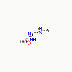 CC(C)c1nsc(C=Cc2cncc(NC(=O)OC(C)(C)C)c2)n1